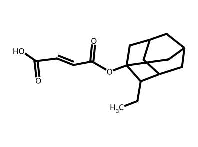 CCC1C2CC3CC(C2)CC1(OC(=O)C=CC(=O)O)C3